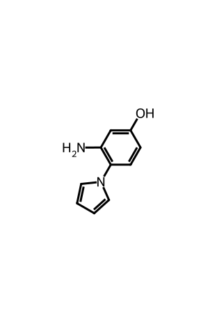 Nc1cc(O)ccc1-n1cccc1